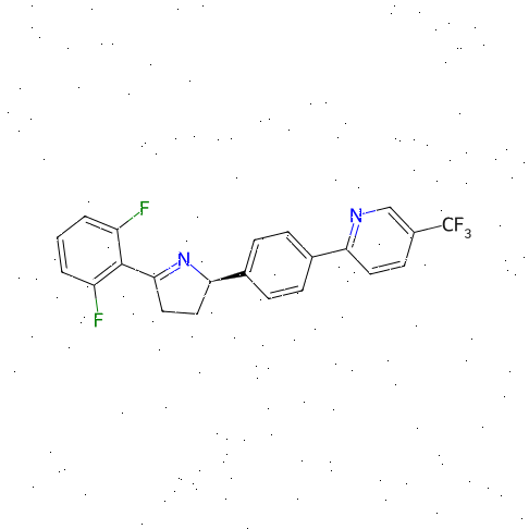 Fc1cccc(F)c1C1=N[C@@H](c2ccc(-c3ccc(C(F)(F)F)cn3)cc2)CC1